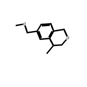 COCc1ccc2c(c1)C(C)COC2